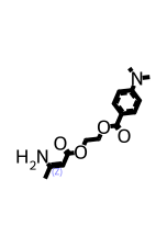 C/C(N)=C/C(=O)OCCOC(=O)c1ccc(N(C)C)cc1